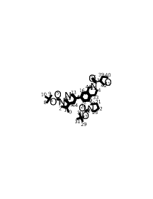 Cc1cn(C(=O)OC(C)(C)C)c2ncc(-c3cc4c(c([C@@H]5CCCN5C(=O)OC(C)(C)C)c3)CCN(C(=O)[C@H]3CCOC3)C4)cc12